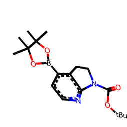 CC(C)(C)OC(=O)N1CCc2c(B3OC(C)(C)C(C)(C)O3)ccnc21